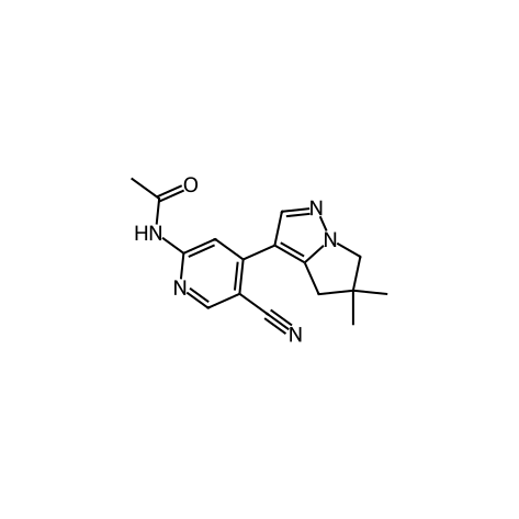 CC(=O)Nc1cc(-c2cnn3c2CC(C)(C)C3)c(C#N)cn1